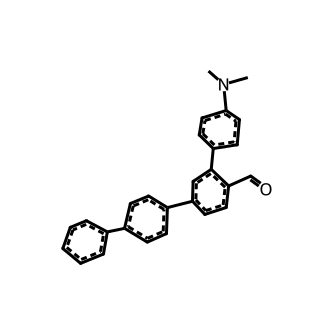 CN(C)c1ccc(-c2cc(-c3ccc(-c4ccccc4)cc3)ccc2C=O)cc1